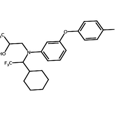 OC(CN(c1cccc(Oc2ccc(F)cc2)c1)C(C1CCCCC1)C(F)(F)F)C(F)(F)F